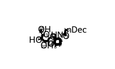 CCCCCCCCCCCC(=O)Nc1ccccc1O[C@@H]1O[C@H](CO)[C@H](O)[C@H](O)[C@H]1O